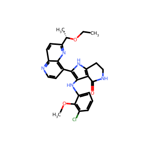 CCO[C@@H](C)c1ccc2nccc(-c3[nH]c4c(c3Nc3cccc(Cl)c3OC)C(=O)NCC4)c2n1